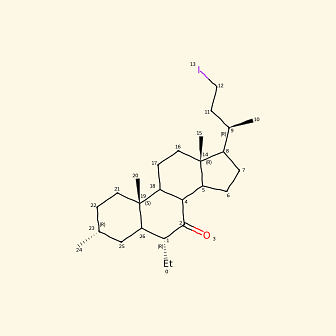 CC[C@H]1C(=O)C2C3CCC([C@H](C)CCI)[C@@]3(C)CCC2[C@@]2(C)CC[C@@H](C)CC12